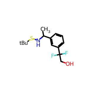 CC(NSC(C)(C)C)c1cccc(C(F)(F)CO)c1